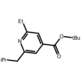 CCc1cc(C(=O)OC(C)(C)C)cc(CC(C)C)n1